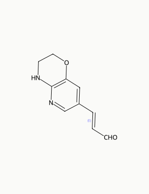 O=C/C=C/c1cnc2c(c1)OCCN2